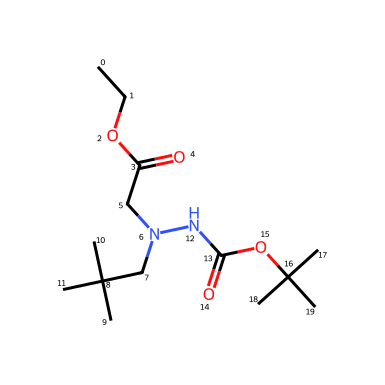 CCOC(=O)CN(CC(C)(C)C)NC(=O)OC(C)(C)C